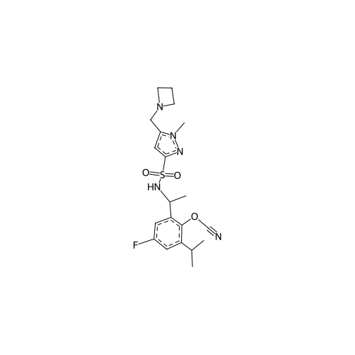 CC(C)c1cc(F)cc(C(C)NS(=O)(=O)c2cc(CN3CCC3)n(C)n2)c1OC#N